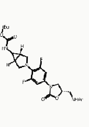 CC(=O)NC[C@H]1CN(c2cc(F)c(N3C[C@@H]4C(NC(=O)OC(C)(C)C)[C@@H]4C3)c(F)c2)C(=O)O1